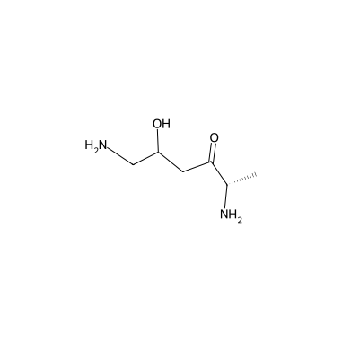 C[C@H](N)C(=O)CC(O)CN